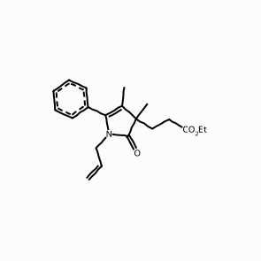 C=CCN1C(=O)C(C)(CCC(=O)OCC)C(C)=C1c1ccccc1